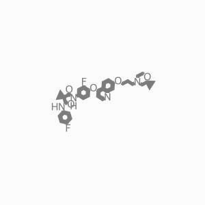 O=C(Nc1ccc(F)cc1)C1(C(=O)Nc2ccc(Oc3ccnc4cc(OCCCN5CCOC6(CC6)C5)ccc34)c(F)c2)CC1